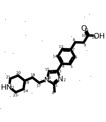 Cc1nc(-c2ccc(CCC(=O)O)cc2)cn1CCC1CCNCC1